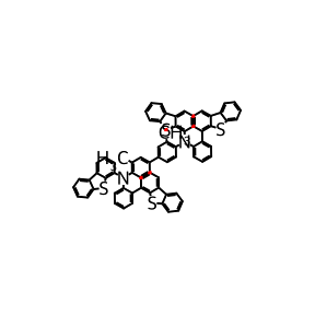 Cc1cc(-c2ccc(N(c3ccccc3-c3cccc4c3sc3ccccc34)c3cccc4c3sc3ccccc34)c(C)c2)ccc1N(c1ccccc1-c1cccc2c1sc1ccccc12)c1cccc2c1sc1ccccc12